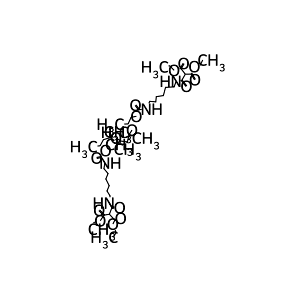 CCOC(=O)C(C(=O)NCCCCCCNC(=O)OCC(C)OC(C)(C)CC(C)OC(C)(C)CC(C)OC(=O)NCCCCCCNC(=O)C(C(=O)OCC)C(=O)OCC)C(=O)OCC